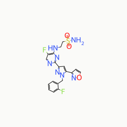 NS(=O)(=O)CCNc1nc(-c2cc(-c3ccon3)n(Cc3ccccc3F)n2)ncc1F